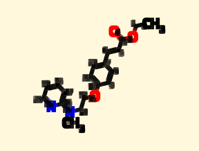 CCOC(=O)C=Cc1ccc(OCCN(C)c2ccccn2)cc1